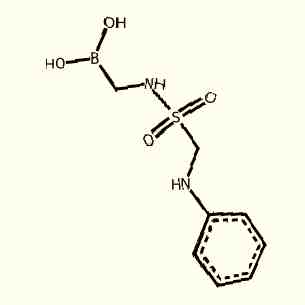 O=S(=O)(CNc1ccccc1)NCB(O)O